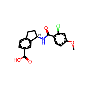 COc1ccc(C(=O)N[C@@H]2CCc3ccc(C(=O)O)cc32)c(Cl)c1